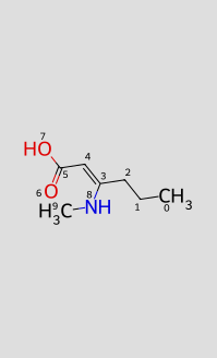 CCCC(=CC(=O)O)NC